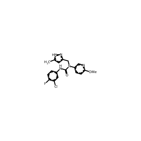 COc1ccc(N(Cc2cc(C)[nH]n2)C(=O)Nc2ccc(F)c(Cl)c2)cn1